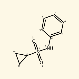 O=S(=O)(Nc1c[c]ccc1)C1CC1